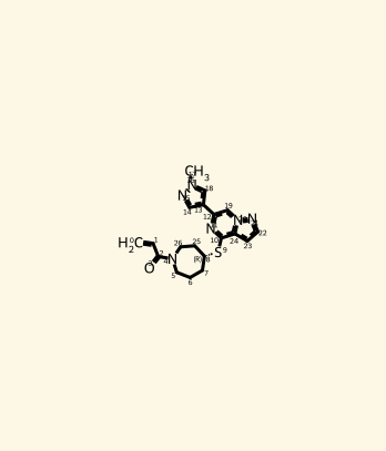 C=CC(=O)N1CCC[C@@H](Sc2nc(-c3cnn(C)c3)cn3nccc23)CC1